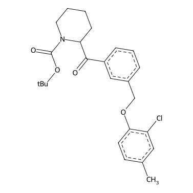 Cc1ccc(OCc2cccc(C(=O)C3CCCCN3C(=O)OC(C)(C)C)c2)c(Cl)c1